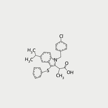 CC(C)c1ccc2c(c1)c(Sc1ccccc1)c(C(C)C(=O)O)n2Cc1ccc(Cl)cc1